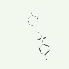 Cc1ccc(S(=O)(=O)OC[C@H]2OC(O)[C@H](O)[C@@H](O)[C@H]2O)cc1